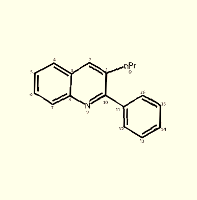 CCCc1cc2ccccc2nc1-c1ccccc1